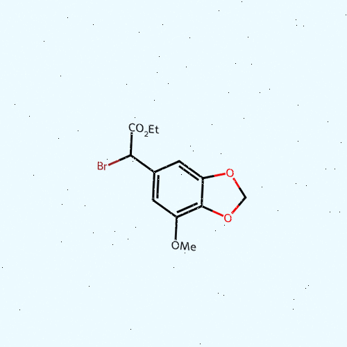 CCOC(=O)C(Br)c1cc(OC)c2c(c1)OCO2